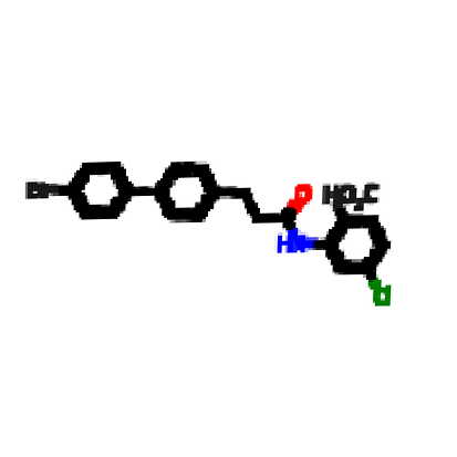 CCc1ccc(-c2ccc(CCC(=O)Nc3cc(Cl)ccc3C(=O)O)cc2)cc1